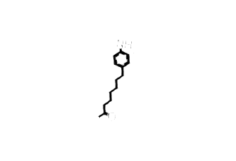 CC(=O)CCCCCCc1ccc(N)cc1